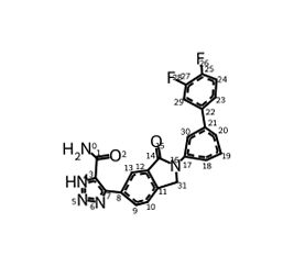 NC(=O)c1[nH]nnc1-c1ccc2c(c1)C(=O)N(c1cccc(-c3ccc(F)c(F)c3)c1)C2